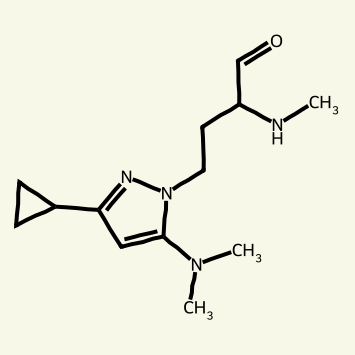 CNC(C=O)CCn1nc(C2CC2)cc1N(C)C